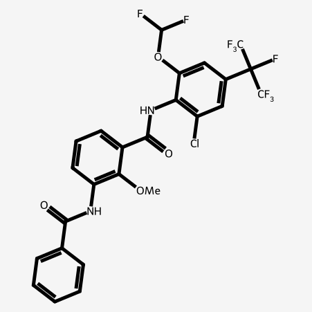 COc1c(NC(=O)c2ccccc2)cccc1C(=O)Nc1c(Cl)cc(C(F)(C(F)(F)F)C(F)(F)F)cc1OC(F)F